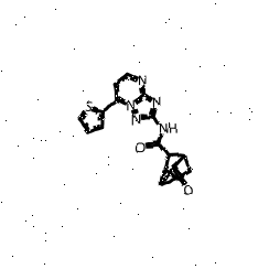 O=C(Nc1nc2nccc(-c3cccs3)n2n1)C1C2CC3C(C2=O)C31